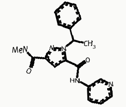 CNC(=O)c1cc(C(=O)Nc2cccnc2)n(C(C)c2ccccc2)n1